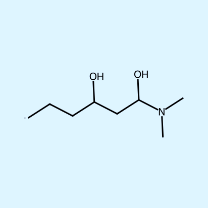 [CH2]CCC(O)CC(O)N(C)C